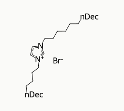 CCCCCCCCCCCCCCCCn1cc[n+](CCCCCCCCCCCCCC)c1.[Br-]